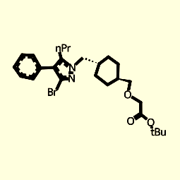 CCCc1c(-c2ccccc2)c(Br)nn1C[C@H]1CC[C@H](COCC(=O)OC(C)(C)C)CC1